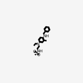 CCN(CCNS(C)(=O)=O)c1ccc(NCc2ccccc2)c(C)c1